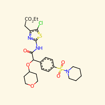 CCOC(=O)Cc1nc(NC(=O)C(OC2CCOCC2)c2ccc(S(=O)(=O)N3CCCCC3)cc2)sc1Cl